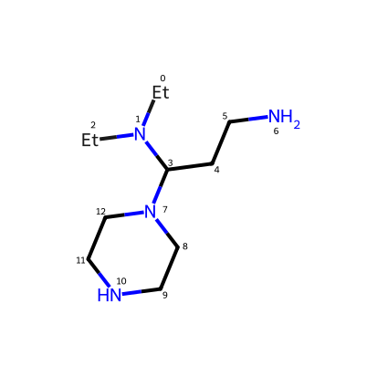 CCN(CC)C(CCN)N1CCNCC1